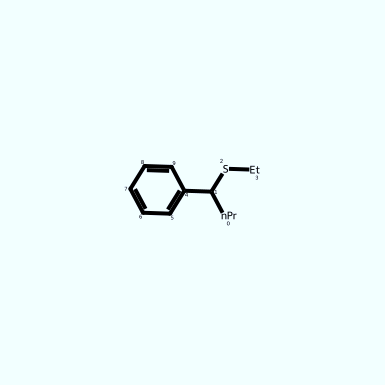 [CH2]CCC(SCC)c1ccccc1